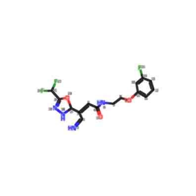 N=C/C(=C\C(=O)NCCOc1cccc(F)c1)C1NN=C(C(F)F)O1